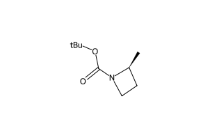 C[C@H]1CCN1C(=O)OC(C)(C)C